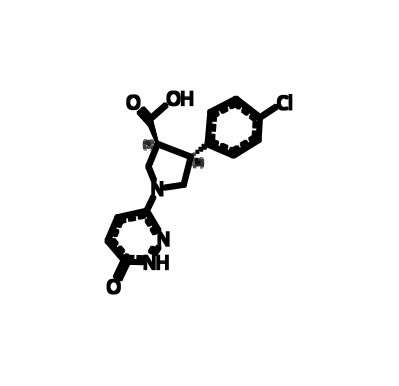 O=C(O)[C@@H]1CN(c2ccc(=O)[nH]n2)C[C@H]1c1ccc(Cl)cc1